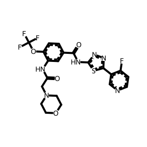 O=C(CN1CCOCC1)Nc1cc(C(=O)Nc2nnc(-c3cnccc3F)s2)ccc1OC(F)(F)F